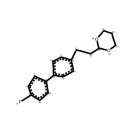 Fc1ccc(-c2ccc(CCC3OCCCO3)cc2)cc1